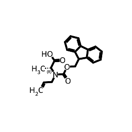 C=CCN(C(=O)OCC1c2ccccc2-c2ccccc21)[C@H](C)C(=O)O